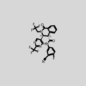 N#Cc1cc(NC(=O)[C@H]2c3ccccc3C(=O)N(CC(F)(F)F)[C@@H]2c2cnc(C(F)(F)F)nc2)ccc1F